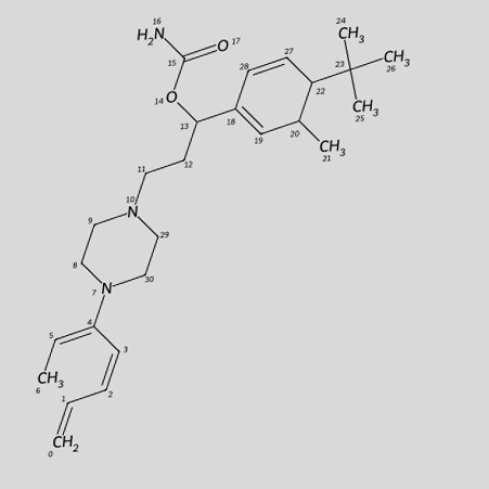 C=C/C=C\C(=C/C)N1CCN(CCC(OC(N)=O)C2=CC(C)C(C(C)(C)C)C=C2)CC1